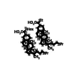 CCC(C(=O)O)[C@H]1CC[C@@]2(C)C(=CC[C@H]3[C@@H]4CC[C@H]([C@H](C)CCCC(C)C)[C@@]4(C)CC[C@@H]32)C1.CCCCCCC(C(=O)O)[C@H]1CC[C@@]2(C)C(=CC[C@H]3[C@@H]4CC[C@H]([C@H](C)CCCC(C)C)[C@@]4(C)CC[C@@H]32)C1